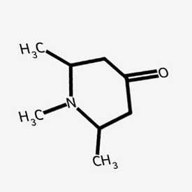 CC1CC(=O)CC(C)N1C